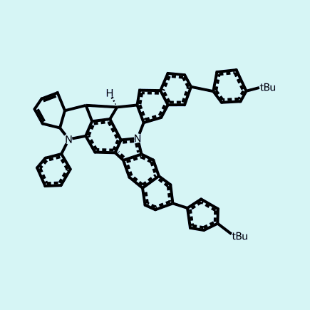 CC(C)(C)c1ccc(-c2ccc3cc4c(cc3c2)-n2c3cc5cc(-c6ccc(C(C)(C)C)cc6)ccc5cc3c3cc5c6c(c32)[C@H]4C6C2C=CC=CC2N5c2ccccc2)cc1